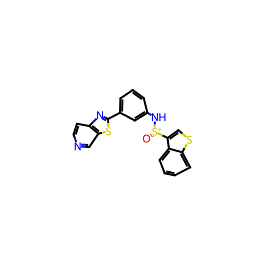 [O-][S+](Nc1cccc(-c2nc3ccncc3s2)c1)c1csc2ccccc12